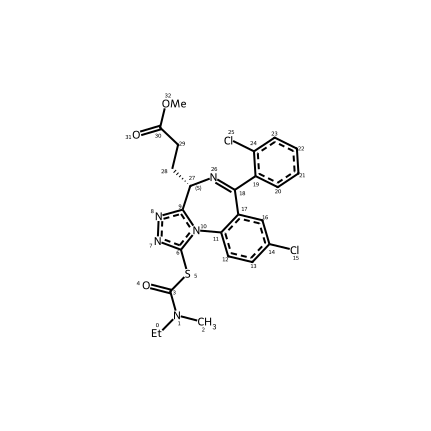 CCN(C)C(=O)Sc1nnc2n1-c1ccc(Cl)cc1C(c1ccccc1Cl)=N[C@H]2CCC(=O)OC